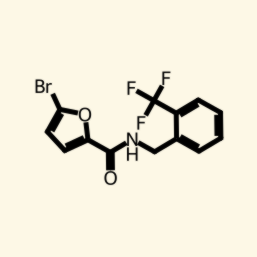 O=C(NCc1ccccc1C(F)(F)F)c1ccc(Br)o1